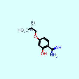 CC[C@H](COc1ccc(C(=N)N)c(O)c1)C(=O)O